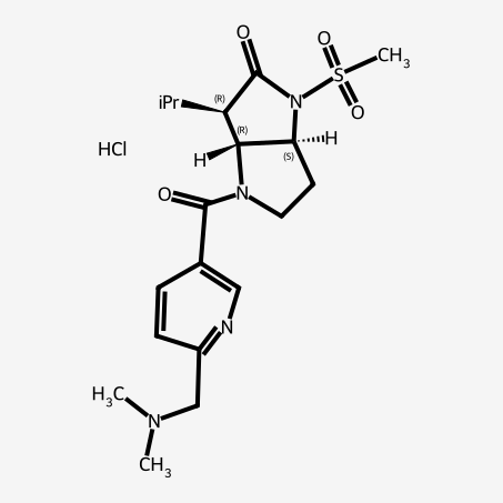 CC(C)[C@H]1C(=O)N(S(C)(=O)=O)[C@H]2CCN(C(=O)c3ccc(CN(C)C)nc3)[C@H]12.Cl